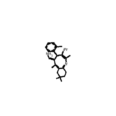 CC1=C(/C(C)C)C(c2ccccc2C)C(=C\N)/C(C)=C2/CC(C)(C)CC/C2=N/1